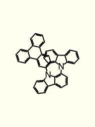 c1ccc2c(c1)c1ccccc1c1cc(-n3c4ccccc4c4cccc(-n5c6ccccc6c6ccccc65)c43)ccc21